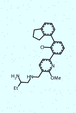 CCC(N)CNCc1ccc(-c2cccc(-c3cccc4c3CCC4)c2Cl)nc1OC